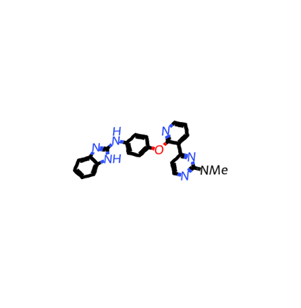 CNc1nccc(-c2cccnc2Oc2ccc(Nc3nc4ccccc4[nH]3)cc2)n1